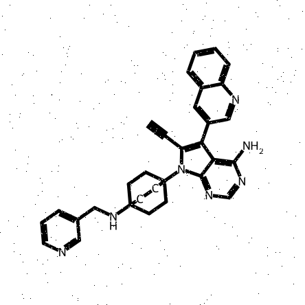 C#Cc1c(-c2cnc3ccccc3c2)c2c(N)ncnc2n1C12CCC(NCc3cccnc3)(CC1)CC2